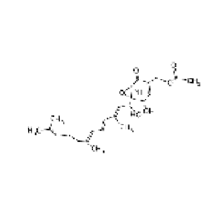 CC(=O)OCC1=C[C@H](O)[C@@]2(C(O)/C=C(C)/C=C/C=C(\C)CCC=C(C)C)O[C@H]2C1=O